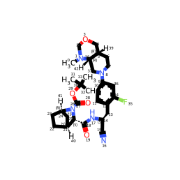 CN1COC[C@@H]2CCN(c3ccc(C[C@@H](C#N)NC(=O)[C@@H]4[C@H]5CC[C@H](C5)N4C(=O)OC(C)(C)C)c(F)c3)C[C@@H]21